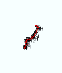 Cn1ccnc1NCCCn1ncc2cc(C(=O)NCC(NS(=O)(=O)c3ccc(-c4ccc(S(=O)(=O)NCCCOCCOCCOCCCNC(=O)OCc5ccccc5)cc4)cc3)C(=O)O)ccc21